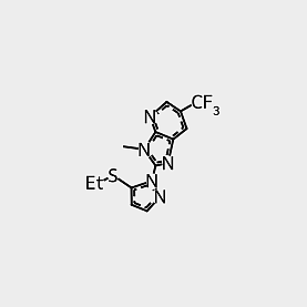 CCSc1ccnn1-c1nc2cc(C(F)(F)F)cnc2n1C